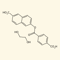 O=C(O)c1ccc(C(=O)Oc2ccc3cc(C(=O)O)ccc3c2)cc1.OCCO